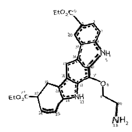 CCOC(=O)c1ccc2[nH]c3c(OCCN)c4[nH]c5c(c4cc3c2c1)CC(C(=O)OCC)C=C5